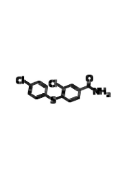 NC(=O)c1ccc(Sc2ccc(Cl)cc2)c(Cl)c1